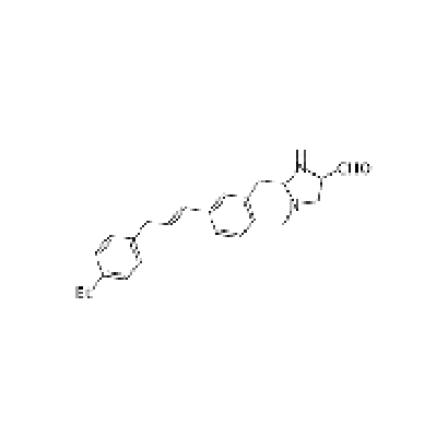 CCc1ccc(C/C=C/c2cccc(CC3NC(C=O)CN3C)c2)cc1